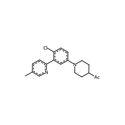 CC(=O)C1CCN(c2ccc(Cl)c(-c3ccc(C)cn3)c2)CC1